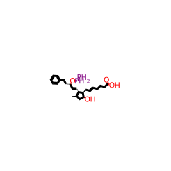 C[C@@H]1C[C@H](O)[C@H](CC=CCCCC(=O)O)[C@H]1/C=C/[C@H](CCc1ccccc1)OPP